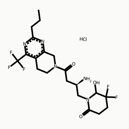 CCCc1nc2c(c(C(F)(F)F)n1)CCN(C(=O)C[C@@H](N)CN1C(=O)CCC(F)(F)C1O)C2.Cl